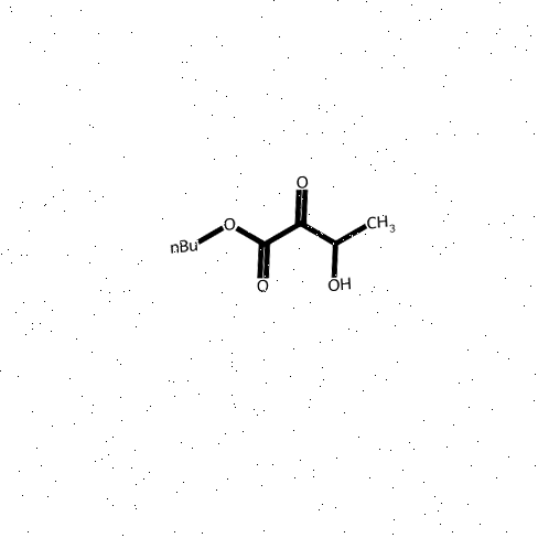 CCCCOC(=O)C(=O)C(C)O